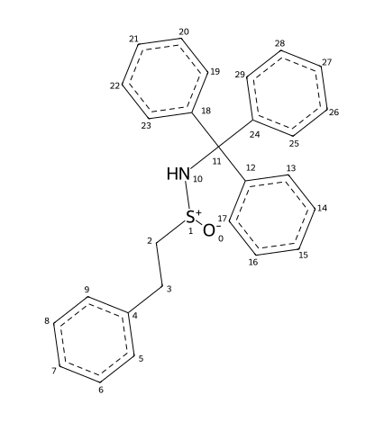 [O-][S+](CCc1ccccc1)NC(c1ccccc1)(c1ccccc1)c1ccccc1